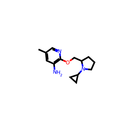 Cc1cnc(OCC2CCCN2C2CC2)c(N)c1